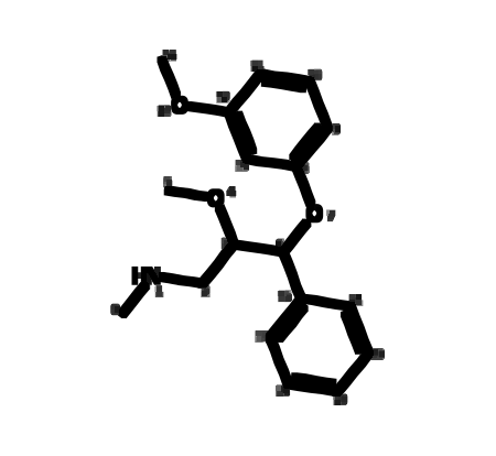 CNCC(OC)C(Oc1cccc(OC)c1)c1ccccc1